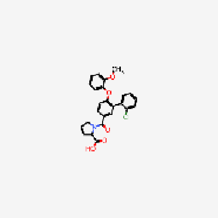 COc1ccccc1Oc1ccc(C(=O)N2CCCC2C(=O)O)cc1-c1ccccc1Cl